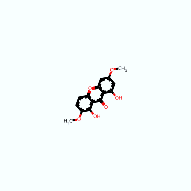 COc1cc(O)c2c(=O)c3c(O)c(OC)ccc3oc2c1